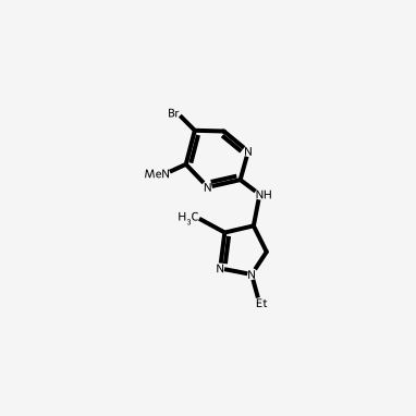 CCN1CC(Nc2ncc(Br)c(NC)n2)C(C)=N1